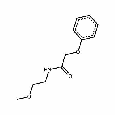 COCCNC(=O)COc1ccccc1